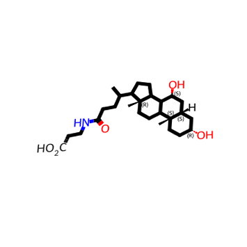 CC(CCC(=O)NCCC(=O)O)C1CCC2C3C(CC[C@]12C)[C@@]1(C)CC[C@@H](O)C[C@H]1C[C@@H]3O